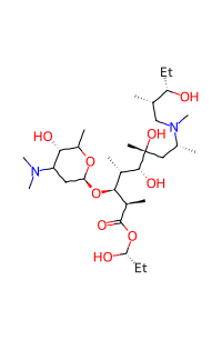 CC[C@H](O)OC(=O)[C@H](C)[C@@H](O[C@H]1CC(N(C)C)[C@H](O)C(C)O1)[C@H](C)[C@@H](O)[C@](C)(O)C[C@@H](C)N(C)C[C@H](C)[C@@H](O)CC